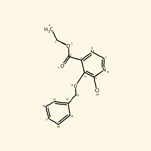 CCOC(=O)c1ncnc(Cl)c1OCc1ccccc1